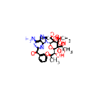 CC(=O)C(O)[C@H]1O[C@@H](n2cnc3c(N)nc(C(=O)c4ccccc4)nc32)[C@@](O)(C(C)=O)[C@](O)(C(C)=O)[C@@]1(O)C(C)=O